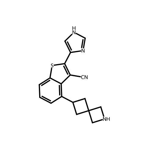 N#Cc1c(-c2c[nH]cn2)sc2cccc(C3CC4(CNC4)C3)c12